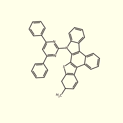 CC1C=Cc2c(sc3c2c2ccccc2c2c4ccccc4n(-c4nc(-c5ccccc5)cc(-c5ccccc5)n4)c32)C1